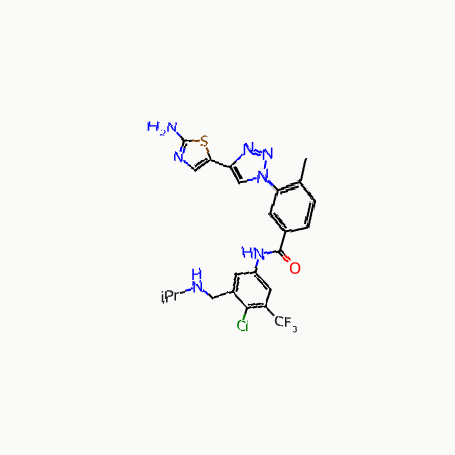 Cc1ccc(C(=O)Nc2cc(CNC(C)C)c(Cl)c(C(F)(F)F)c2)cc1-n1cc(-c2cnc(N)s2)nn1